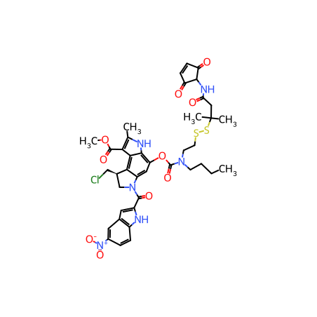 CCCCN(CCSSC(C)(C)CC(=O)NC1C(=O)C=CC1=O)C(=O)Oc1cc2c(c3c(C(=O)OC)c(C)[nH]c13)[C@H](CCl)CN2C(=O)c1cc2cc([N+](=O)[O-])ccc2[nH]1